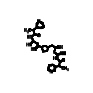 CC(C(=O)NC(=N)SC(=N)CC1CCC(C(=N)SC(=N)NC(=O)C(C)c2cccnc2)C1)c1cccnc1